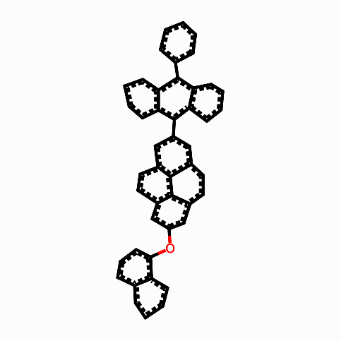 c1ccc(-c2c3ccccc3c(-c3cc4ccc5cc(Oc6cccc7ccccc67)cc6ccc(c3)c4c56)c3ccccc23)cc1